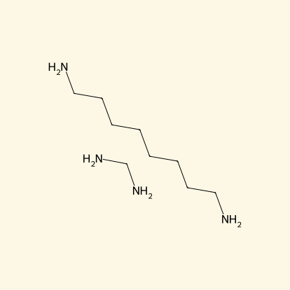 NCCCCCCCCN.NCN